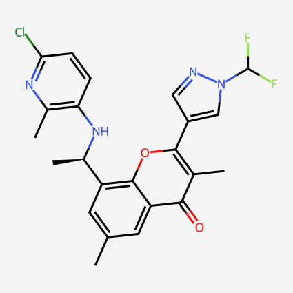 Cc1cc([C@@H](C)Nc2ccc(Cl)nc2C)c2oc(-c3cnn(C(F)F)c3)c(C)c(=O)c2c1